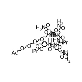 CC(=O)CCOCCOCCOCCOCCC(=O)N[C@@H](CCC(N)=O)C(=O)N[C@@H](CCC(N)=O)C(=O)N[C@H](C(=O)N[C@@H](CCCNC(N)=O)C(=O)Nc1ccc(COC(=O)C(C)C)cc1)C(C)C